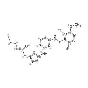 COc1ccc(F)c(CNc2ccnc(Nc3cnn(CC(=O)NCCF)c3)n2)c1F